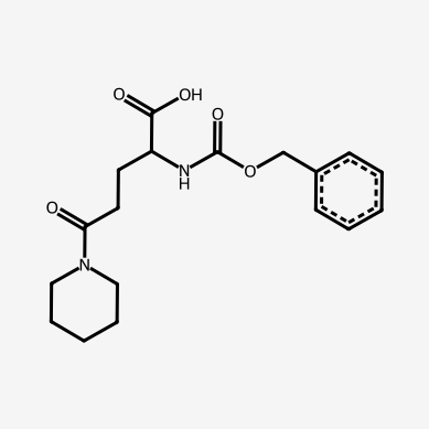 O=C(NC(CCC(=O)N1CCCCC1)C(=O)O)OCc1ccccc1